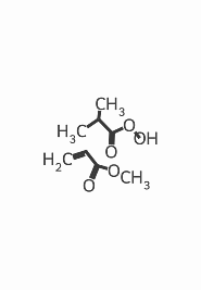 C=CC(=O)OC.CC(C)C(=O)OO